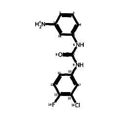 Nc1cccc(NC(=O)Nc2ccc(F)c(Cl)c2)c1